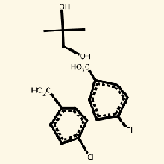 CC(C)(O)CO.O=C(O)c1ccc(Cl)cc1.O=C(O)c1ccc(Cl)cc1